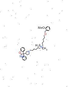 COc1ccccc1COCCCCCC[N+](C)(C)CCCCCCN1CCC(C(C(N)=O)(c2ccccc2)c2ccccc2)C1